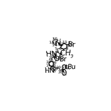 CC(CBr)C(Cc1ccc(Br)cc1N1CCCC1)NC(=O)Cc1ccc2[nH]cc(CCC(=O)OC(C)(C)C)c2c1